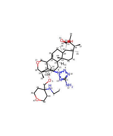 CCNC1(CO[C@H]2[C@H](n3nnc(N)n3)C[C@@]34COC[C@]2(C)[C@@H]3CC[C@H]2C4=CC[C@@]3(C)[C@H](C(=O)O)[C@@](C)([C@H](C)C(C)C)CC[C@]23C)CCOCC1